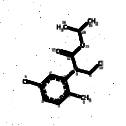 Cc1ccc(Cl)cc1N(CCl)C(=O)OC(C)C